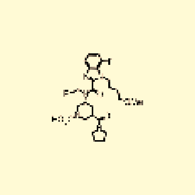 COCCCCn1c(C(=O)N(CC(C)C)[C@H]2C[C@@H](C(=O)N3CCCC3)CN(C(=O)O)C2)nc2cccc(F)c21